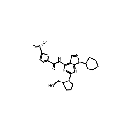 O=C(Nc1nc(N2CCC[C@H]2CO)nc2c1cnn2C1CCCCC1)c1ccc([N+](=O)[O-])s1